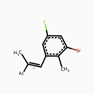 CC(=O)/C(C)=C/c1cc(F)cc(Br)c1C